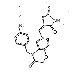 CC(C)(C)c1ccc(CN2C(=O)COc3ccc(C=C4SC(=S)NC4=O)cc32)cc1